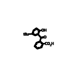 CC(C)(C)c1ccc(O)c(C(=O)c2ccccc2C(=O)O)c1